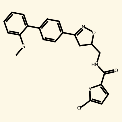 CSc1ccccc1-c1ccc(C2=NOC(CNC(=O)c3ccc(Cl)s3)C2)cc1